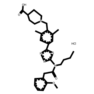 CCCCN(C(=O)Cc1ccccc1OC)c1nnc(-c2cc(C)c(CN3CCC(C(=O)O)CC3)c(C)c2)s1.Cl